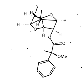 CO[C@@](C)(C(=O)O[C@H]1[C@H]2O[C@H]3[C@@H](C)[C@@H]2O[C@@H]1[C@H]3C)c1ccccc1